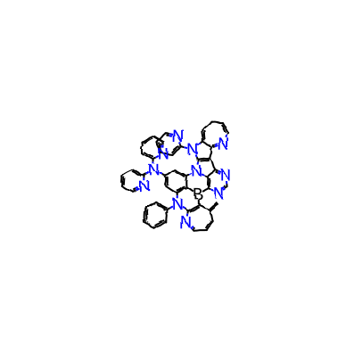 C=C1C=CC=NC2=C1B1c3c(cc(N(c4ccccn4)c4ccccn4)cc3-n3c4c1ncnc4c1c4c(n(-c5ccccn5)c13)=CCC=CN=4)N2c1ccccc1